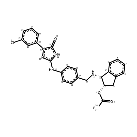 O=C(O[C@H]1Cc2ccccc2[C@H]1NCc1ccc(Nc2nn(-c3cccc(Cl)c3)c(=O)[nH]2)cc1)C(F)(F)F